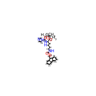 CC(C)(C)OC(=O)C(CCCCNC(=O)OCC1c2ccccc2-c2ccccc21)NC(=O)n1ccnc1